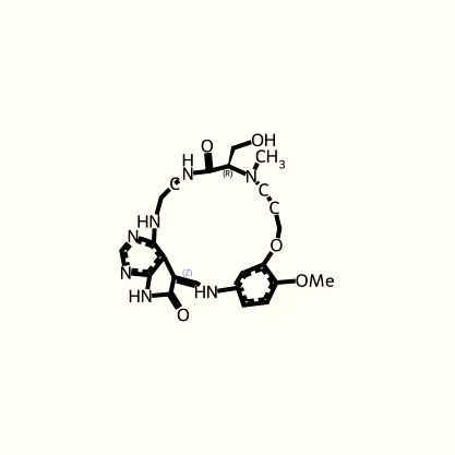 COc1ccc2cc1OCCCN(C)[C@H](CO)C(=O)NCCNc1ncnc3c1/C(=C/N2)C(=O)N3